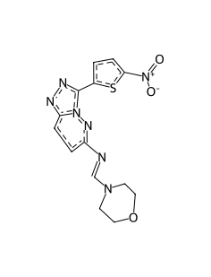 O=[N+]([O-])c1ccc(-c2nnc3ccc(N=CN4CCOCC4)nn23)s1